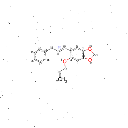 C=CCOc1cc2c(cc1/C=C/Cc1ccccc1)OCO2